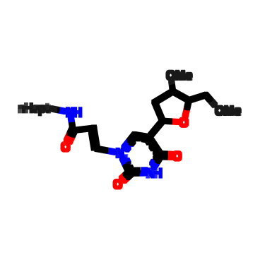 CCCCCCCNC(=O)/C=C/n1cc(C2CC(OC)C(COC)O2)c(=O)[nH]c1=O